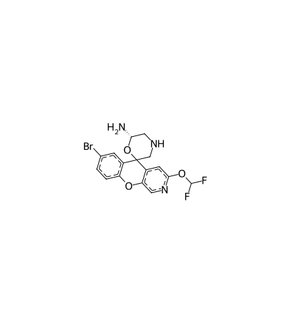 N[C@@H]1CNCC2(O1)c1cc(Br)ccc1Oc1cnc(OC(F)F)cc12